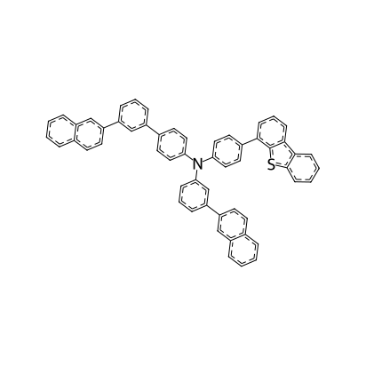 c1cc(-c2ccc(N(c3ccc(-c4cccc5c4sc4ccccc45)cc3)c3cccc(-c4ccc5ccccc5c4)c3)cc2)cc(-c2ccc3ccccc3c2)c1